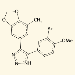 COc1ccc(-c2[nH]nnc2-c2cc(C)c3c(c2)OCO3)cc1C(C)=O